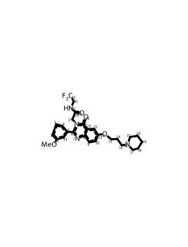 COc1cccc(-c2nc3ccc(OCCCN4CCCCC4)cc3c(=O)n2CC(=O)NCC(F)(F)F)c1